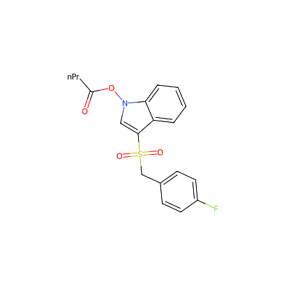 CCCC(=O)On1cc(S(=O)(=O)Cc2ccc(F)cc2)c2ccccc21